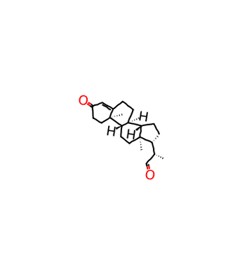 C[C@H](C=O)[C@H]1CC[C@H]2[C@@H]3CCC4=CC(=O)CC[C@]4(C)[C@H]3CC[C@]12C